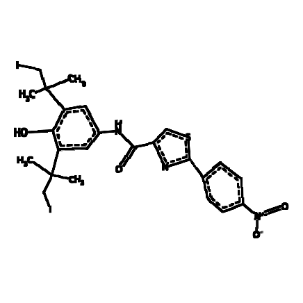 CC(C)(CI)c1cc(NC(=O)c2csc(-c3ccc([N+](=O)[O-])cc3)n2)cc(C(C)(C)CI)c1O